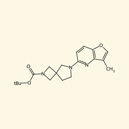 Cc1coc2ccc(N3CCC4(CN(C(=O)OC(C)(C)C)C4)C3)nc12